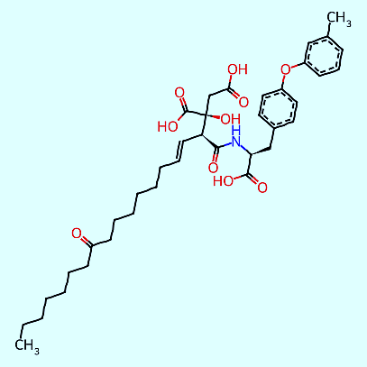 CCCCCCCC(=O)CCCCCC/C=C/[C@H](C(=O)N[C@@H](Cc1ccc(Oc2cccc(C)c2)cc1)C(=O)O)[C@@](O)(CC(=O)O)C(=O)O